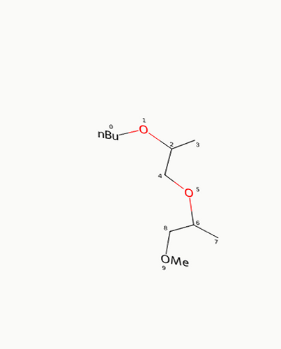 CCCCOC(C)COC(C)COC